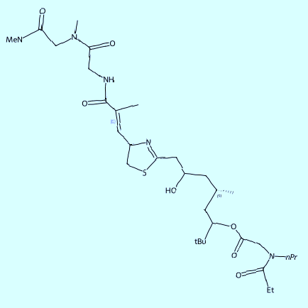 CCCN(CC(=O)OC(C[C@@H](C)CC(O)CC1=NC(/C=C(\C)C(=O)NCC(=O)N(C)CC(=O)NC)CS1)C(C)(C)C)C(=O)CC